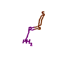 PP=S=S